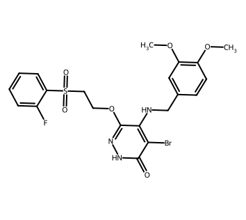 COc1ccc(CNc2c(OCCS(=O)(=O)c3ccccc3F)n[nH]c(=O)c2Br)cc1OC